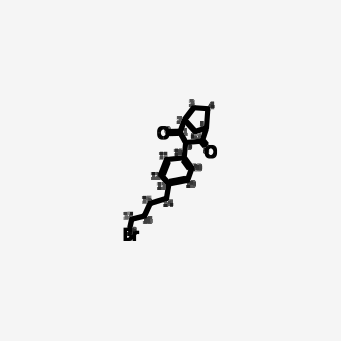 O=C1C2CCC(C2)C(=O)C1c1ccc(CCCCBr)cc1